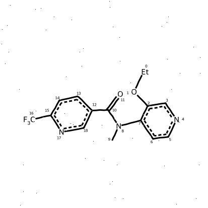 CCOc1cnccc1N(C)C(=O)c1ccc(C(F)(F)F)nc1